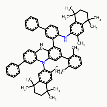 Cc1cc2c(cc1Nc1ccc(-c3ccccc3)cc1-c1cc(-c3c(C)cccc3C)cc3c1Bc1ccc(-c4ccccc4)cc1N3c1cc3c(cc1C)C(C)(C)CCC3(C)C)C(C)(C)CCC2(C)C